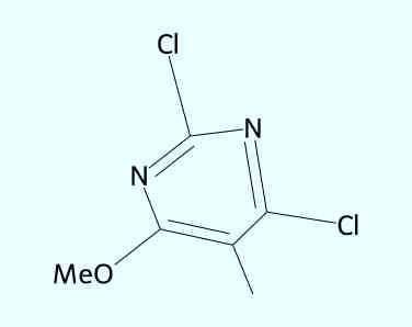 COc1nc(Cl)nc(Cl)c1C